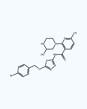 N#Cc1ccc(C(=O)Nc2nnc(OCc3ccc(Br)cc3)s2)c(N2CCNC(O)C2)n1